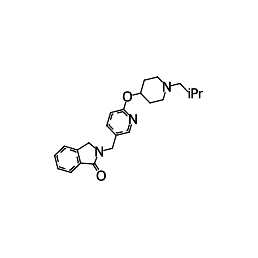 CC(C)CN1CCC(Oc2ccc(CN3Cc4ccccc4C3=O)cn2)CC1